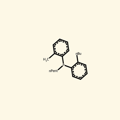 CCCCCP(c1ccccc1C)c1ccccc1CCCC